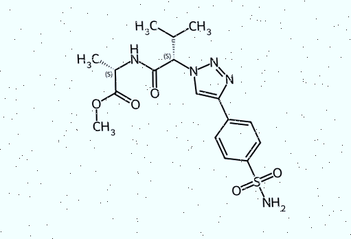 COC(=O)[C@H](C)NC(=O)[C@H](C(C)C)n1cc(-c2ccc(S(N)(=O)=O)cc2)nn1